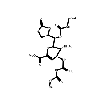 C=C(NC(=O)OC(C)(C)C)N[C@H]1C=C(C(=O)OC)O[C@@H]([C@H](OC(=O)NCCCCC)[C@H]2COC(=O)O2)[C@@H]1NC(C)=O